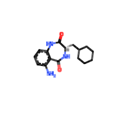 Nc1cccc2c1C(=O)N[C@@H](CC1CCCCC1)C(=O)N2